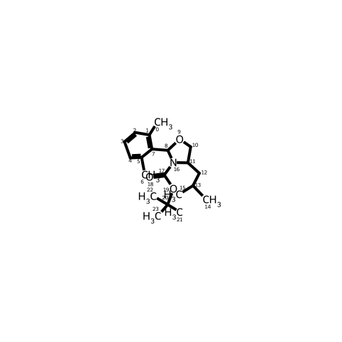 Cc1cccc(C)c1C1OCC(CC(C)C)N1C(=O)OC(C)(C)C